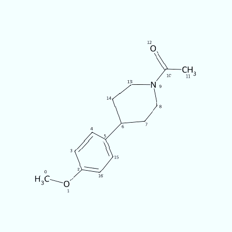 COc1ccc(C2CCN(C(C)=O)CC2)cc1